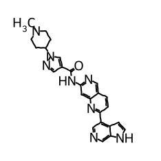 CN1CCC(n2cc(C(=O)Nc3cc4nc(-c5cncc6[nH]ccc56)ccc4cn3)cn2)CC1